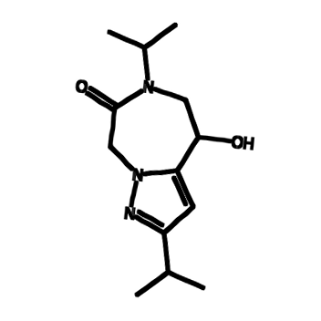 CC(C)c1cc2n(n1)CC(=O)N(C(C)C)CC2O